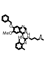 COc1cc2c(N/C(=N\c3c(C)cccc3C)NCCCN(C)C)ncnc2cc1OCc1ccccc1